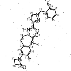 CN1C(=O)[C@@H](NC(=O)c2ncn(Cc3ccccc3F)n2)CSc2cc(N3CCC3=O)c(F)cc21